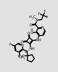 Cc1cc(F)cnc1[C@H](Nc1c(Nc2ccnc(C(=O)N(C)CC(F)(F)F)c2O)c(=O)c1=O)C1(C)CCCC1